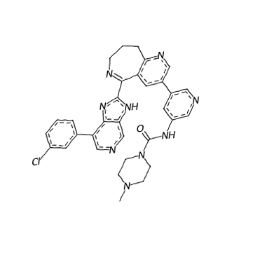 CN1CCN(C(=O)Nc2cncc(-c3cnc4c(c3)C(c3nc5c(-c6cccc(Cl)c6)cncc5[nH]3)=NCCC4)c2)CC1